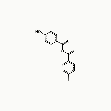 Cc1ccc(C(=O)OC(=O)c2ccc(O)cc2)cc1